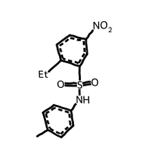 CCc1ccc([N+](=O)[O-])cc1S(=O)(=O)Nc1ccc(C)cc1